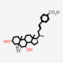 CC[C@H]1[C@@H](O)C2C3CC[C@H]([C@H](C)C/C=C/c4ccc(C(=O)O)cc4)C3(C)CCC2C2(C)CC[C@@H](O)C[C@@H]12